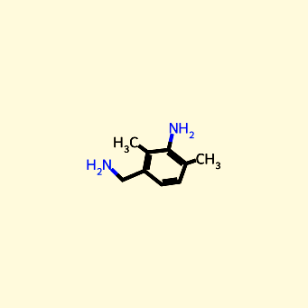 Cc1ccc(CN)c(C)c1N